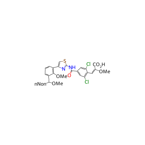 CCCCCCCCCC(OC)c1cccc(-c2csc(NC(=O)c3cc(Cl)c(/C=C(/OC)C(=O)O)c(Cl)c3)n2)c1OC